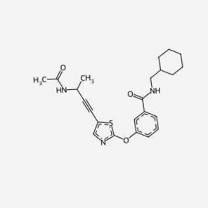 CC(=O)NC(C)C#Cc1cnc(Oc2cccc(C(=O)NCC3CCCCC3)c2)s1